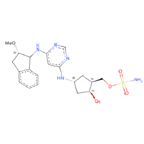 CO[C@H]1Cc2ccccc2C1Nc1cc(N[C@@H]2C[C@@H](COS(N)(=O)=O)[C@@H](O)C2)ncn1